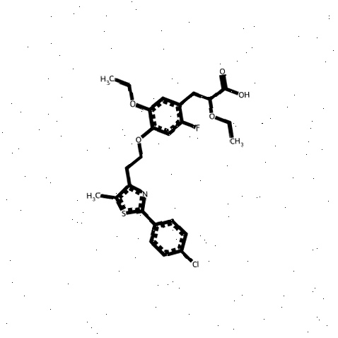 CCOc1cc(CC(OCC)C(=O)O)c(F)cc1OCCc1nc(-c2ccc(Cl)cc2)sc1C